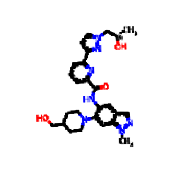 C[C@H](O)Cn1ccc(-c2cccc(C(=O)Nc3cc4cnn(C)c4cc3N3CCC(CO)CC3)n2)n1